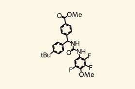 COC(=O)c1ccc(C(NC(=O)Nc2cc(F)c(OC)c(F)c2F)c2ccc(C(C)(C)C)cc2)cc1